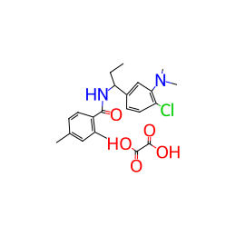 CCC(NC(=O)c1ccc(C)cc1C)c1ccc(Cl)c(N(C)C)c1.O=C(O)C(=O)O